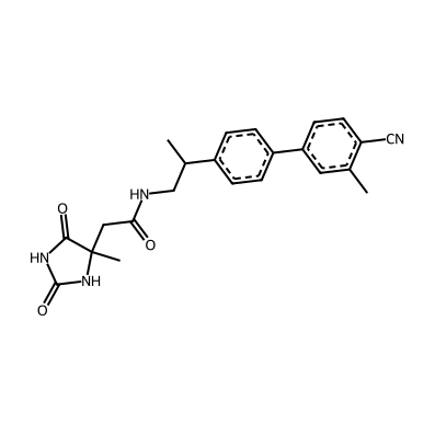 Cc1cc(-c2ccc(C(C)CNC(=O)CC3(C)NC(=O)NC3=O)cc2)ccc1C#N